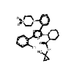 N#Cc1ccccc1-c1nc(-c2ccccc2N2CCS(=O)(=O)CC2)c([C@@H]2CCCC[C@H]2C(=O)NC2(C#N)CC2)o1